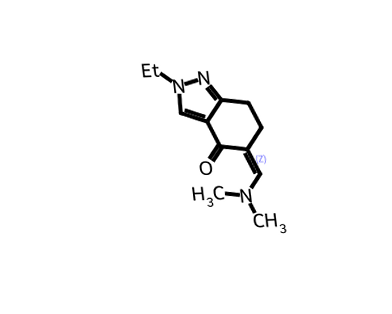 CCn1cc2c(n1)CC/C(=C/N(C)C)C2=O